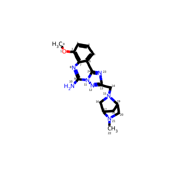 COc1cccc2c1nc(N)n1nc(CN3CC4CC3CN4C)nc21